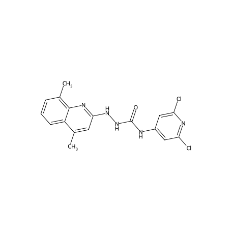 Cc1cc(NNC(=O)Nc2cc(Cl)nc(Cl)c2)nc2c(C)cccc12